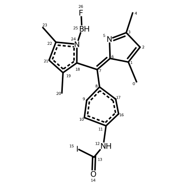 CC1=CC(C)=N/C1=C(/c1ccc(NC(=O)I)cc1)c1c(C)cc(C)n1BF